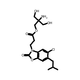 CC(C)Cc1cc2oc(=O)n(CCC(=O)OCC(N)(CO)CO)c2cc1Cl